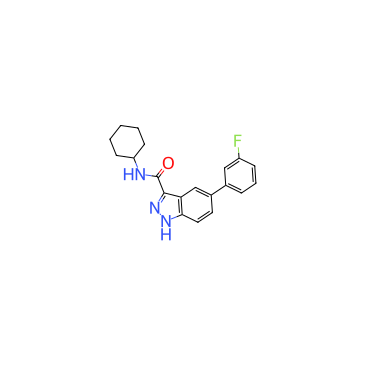 O=C(NC1CCCCC1)c1n[nH]c2ccc(-c3cccc(F)c3)cc12